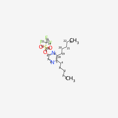 CCCCCc1ncc(OS(=O)(=O)C(F)(F)F)nc1CCCCC